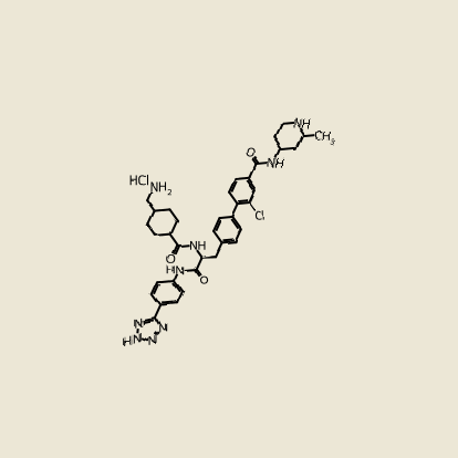 CC1CC(NC(=O)c2ccc(-c3ccc(C[C@H](NC(=O)C4CCC(CN)CC4)C(=O)Nc4ccc(-c5nn[nH]n5)cc4)cc3)c(Cl)c2)CCN1.Cl